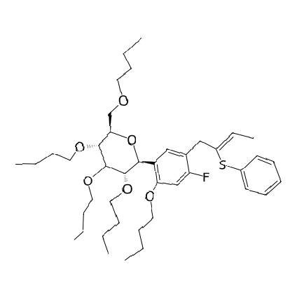 C/C=C(/Cc1cc([C@@H]2O[C@H](COCCCC)[C@@H](OCCCC)C(OCCCC)[C@H]2OCCCC)c(OCCCC)cc1F)Sc1ccccc1